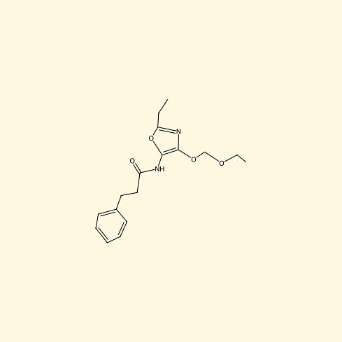 CCOCOc1nc(CC)oc1NC(=O)CCc1ccccc1